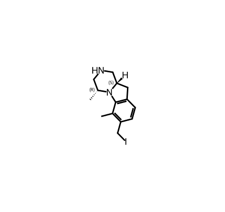 Cc1c(CI)ccc2c1N1[C@H](CNC[C@H]1C)C2